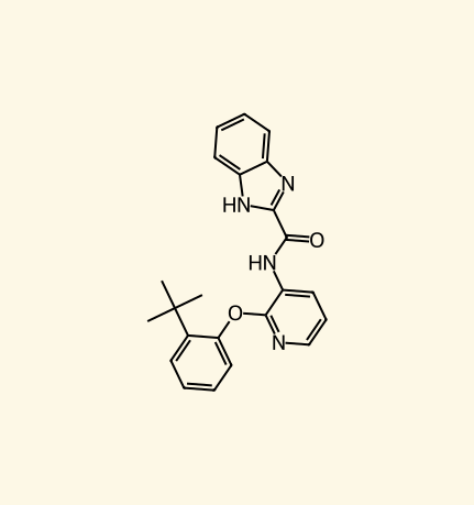 CC(C)(C)c1ccccc1Oc1ncccc1NC(=O)c1nc2ccccc2[nH]1